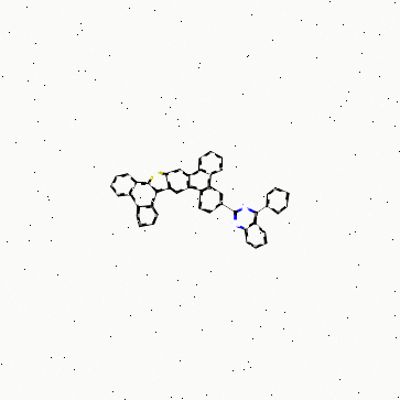 c1ccc(-c2nc(-c3ccc4c(c3)c3ccccc3c3cc5sc6c7ccccc7c7ccccc7c6c5cc43)nc3ccccc23)cc1